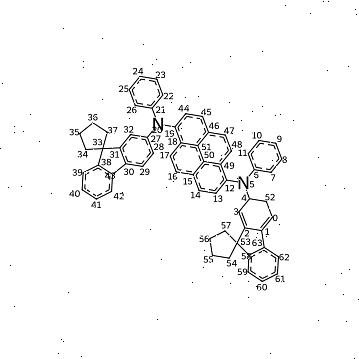 C1=C2C(=CC(N(c3ccccc3)c3ccc4ccc5c(N(c6ccccc6)c6ccc7c(c6)C6(CCCC6)c6ccccc6-7)ccc6ccc3c4c65)C1)C1(CCCC1)c1ccccc12